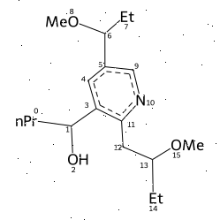 CCCC(O)c1cc(C(CC)OC)cnc1CC(CC)OC